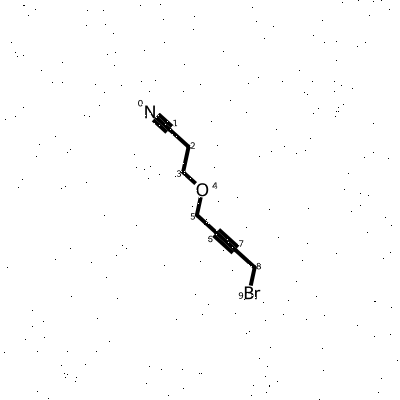 N#CCCOCC#CCBr